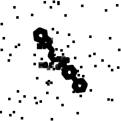 O=C(O)[C@H](CCc1nc2ccccc2[nH]1)NS(=O)(=O)c1ccc(-c2ccccc2)cc1